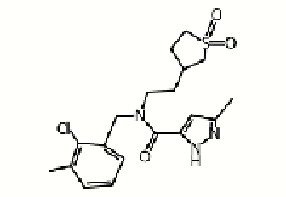 Cc1cc(C(=O)N(CCC2CCS(=O)(=O)C2)Cc2cccc(C)c2Cl)[nH]n1